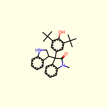 CN1C(=O)C(c2cc(C(C)(C)C)c(O)c(C(C)(C)C)c2)(C2CNc3ccccc32)c2ccccc21